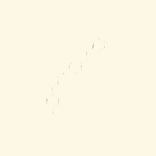 CC(C)(NCC(O)c1ccc(O)c(O)c1)C(O)CC(CO)NCC(O)c1ccc(O)cc1